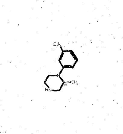 C[C@H]1CNCCN1c1cccc([N+](=O)[O-])c1